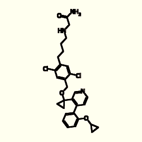 NC(=O)CNCCCCc1cc(Cl)c(COC2(c3cnccc3-c3ccccc3OC3CC3)CC2)cc1Cl